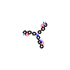 c1ccc2c(c1)oc1nc(-c3ccc(N(c4ccc(-c5ccc6c(c5)oc5ncccc56)cc4)c4ccc(-c5ccc6c(c5)oc5ncccc56)cc4)cc3)ccc12